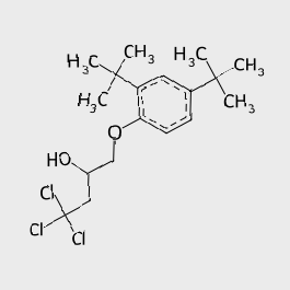 CC(C)(C)c1ccc(OCC(O)CC(Cl)(Cl)Cl)c(C(C)(C)C)c1